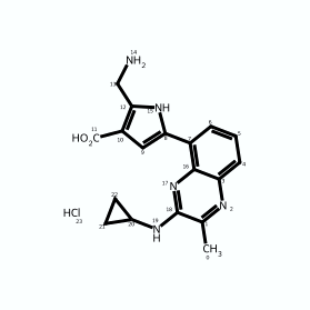 Cc1nc2cccc(-c3cc(C(=O)O)c(CN)[nH]3)c2nc1NC1CC1.Cl